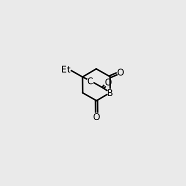 CCC12CC(=O)B(C(=O)C1)C(=O)C2